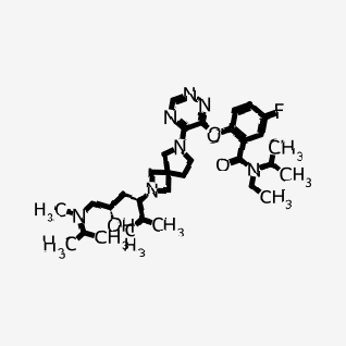 CCN(C(=O)c1cc(F)ccc1Oc1nncnc1N1CCC2(C1)CN([C@H](C[C@H](O)CN(C)C(C)C)C(C)C)C2)C(C)C